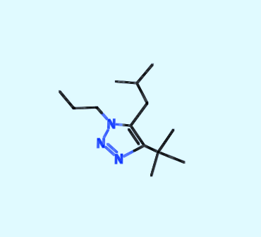 CCCn1nnc(C(C)(C)C)c1CC(C)C